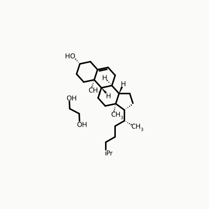 CC(C)CCC[C@@H](C)[C@H]1CC[C@H]2[C@@H]3CC=C4C[C@@H](O)CC[C@]4(C)[C@H]3CC[C@]12C.OCCO